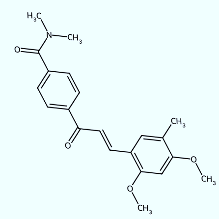 COc1cc(OC)c(C=CC(=O)c2ccc(C(=O)N(C)C)cc2)cc1C